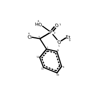 CCOP(=O)(O)C(Cl)c1ccccc1